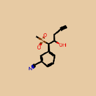 C#CCC(O)C(c1cccc(C#N)c1)S(C)(=O)=O